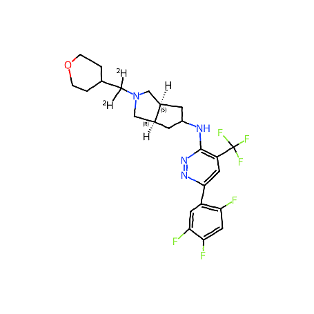 [2H]C([2H])(C1CCOCC1)N1C[C@H]2CC(Nc3nnc(-c4cc(F)c(F)cc4F)cc3C(F)(F)F)C[C@H]2C1